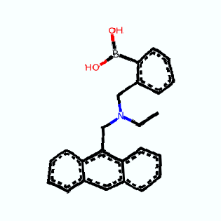 CCN(Cc1ccccc1B(O)O)Cc1c2ccccc2cc2ccccc12